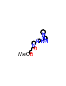 COC(=O)CCCC(=O)N1CCCC(N2CCC(Nc3nccc(N4CCCCCC4)n3)C2)C1